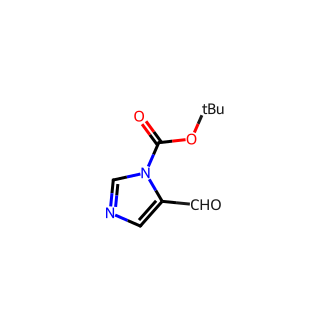 CC(C)(C)OC(=O)n1cncc1C=O